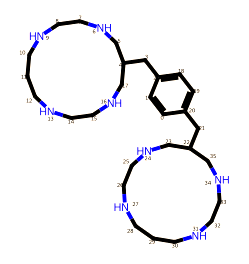 c1cc(CC2CNCCNCCCNCCNC2)ccc1CC1CNCCNCCCNCCNC1